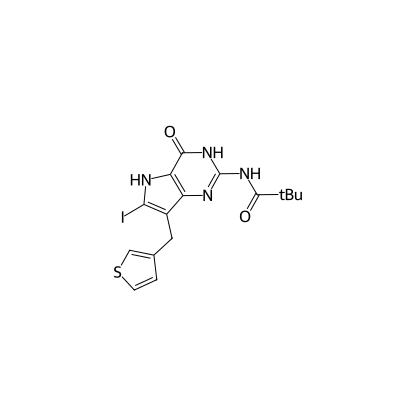 CC(C)(C)C(=O)Nc1nc2c(Cc3ccsc3)c(I)[nH]c2c(=O)[nH]1